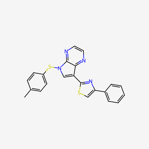 Cc1ccc(Sn2cc(-c3nc(-c4ccccc4)cs3)c3nccnc32)cc1